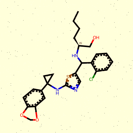 CCCC[C@@H](CO)NC(c1cnc(NC2(c3ccc4c(c3)OCO4)CC2)s1)c1ccccc1Cl